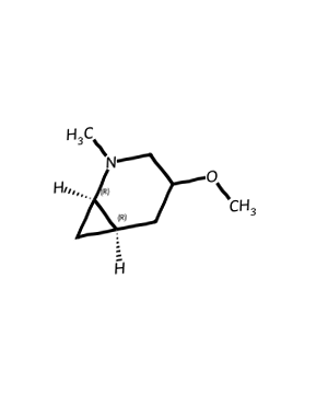 COC1C[C@H]2C[C@H]2N(C)C1